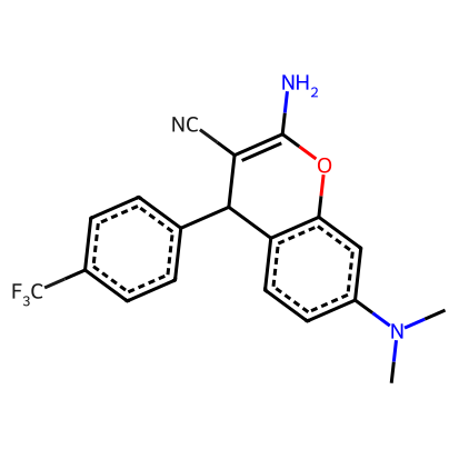 CN(C)c1ccc2c(c1)OC(N)=C(C#N)C2c1ccc(C(F)(F)F)cc1